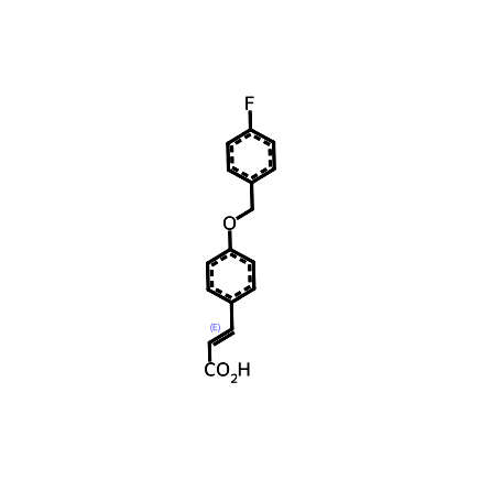 O=C(O)/C=C/c1ccc(OCc2ccc(F)cc2)cc1